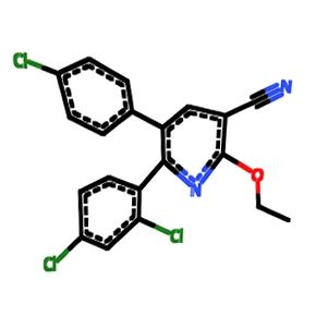 CCOc1nc(-c2ccc(Cl)cc2Cl)c(-c2ccc(Cl)cc2)cc1C#N